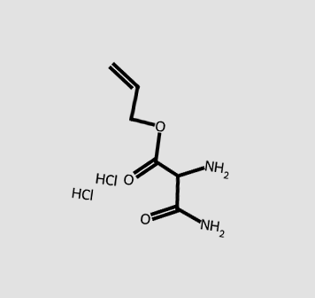 C=CCOC(=O)C(N)C(N)=O.Cl.Cl